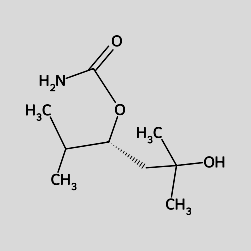 CC(C)[C@@H](CC(C)(C)O)OC(N)=O